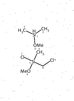 CO[SiH](C)C.CO[Si](C)(Cl)CCl